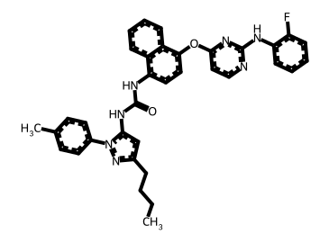 CCCCc1cc(NC(=O)Nc2ccc(Oc3ccnc(Nc4ccccc4F)n3)c3ccccc23)n(-c2ccc(C)cc2)n1